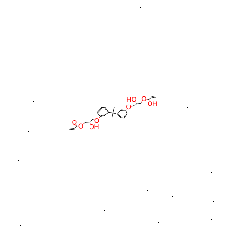 C=CC(=O)OCC(O)COc1cccc(C(C)(C)c2cccc(OCC(O)COC(O)C=C)c2)c1